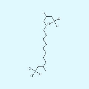 CC(CCCSSSSCCCC(C)CS(Cl)(Cl)Cl)CS(Cl)(Cl)Cl